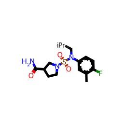 Cc1cc(N(CC(C)C)S(=O)(=O)N2CCC(C(N)=O)C2)ccc1F